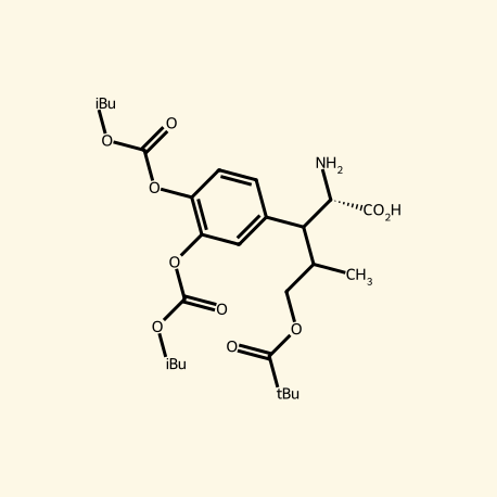 CCC(C)OC(=O)Oc1ccc(C(C(C)COC(=O)C(C)(C)C)[C@H](N)C(=O)O)cc1OC(=O)OC(C)CC